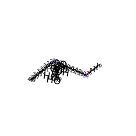 CCCCCCCC/C=C\CCCCCCCCCC(=O)O[C@H](CO/C=C\CCCCCCCCCCCCCC)COP(=O)(O)OC[C@@H](O)CO